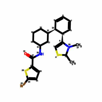 CC1SC=C([C@H]2C=CC=C[C@H]2C2CCCC(NC(=O)c3ccc(Br)s3)C2)N1C